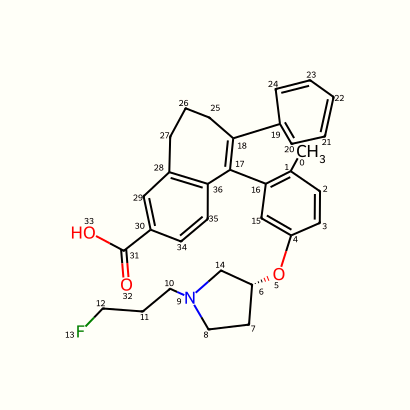 Cc1ccc(O[C@@H]2CCN(CCCF)C2)cc1C1=C(c2ccccc2)CCCc2cc(C(=O)O)ccc21